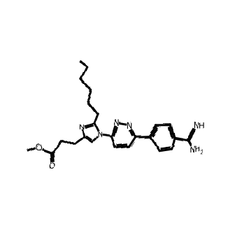 CCCCCCc1nc(CCC(=O)OC)cn1-c1ccc(-c2ccc(C(=N)N)cc2)nn1